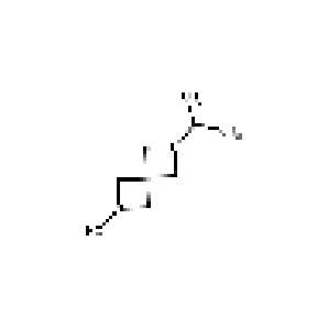 CC(C)N1CC2(CN(O)C2)C1